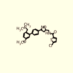 COc1ccc(CN(C)C)c(-c2ccc(C3=NOC(CNC(=O)c4ccc(Cl)s4)C3)cc2)c1